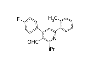 Cc1ccccc1-c1cc(-c2ccc(F)cc2)c(C=O)c(C(C)C)n1